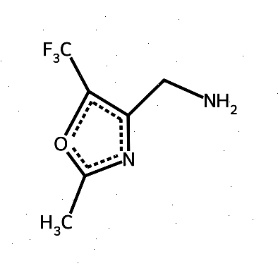 Cc1nc(CN)c(C(F)(F)F)o1